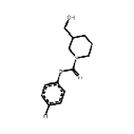 O=C(Oc1ccc(Cl)cc1)N1CCCC(CO)C1